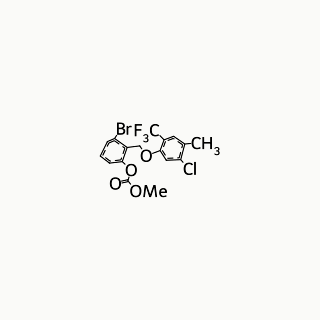 COC(=O)Oc1cccc(Br)c1COc1cc(Cl)c(C)cc1C(F)(F)F